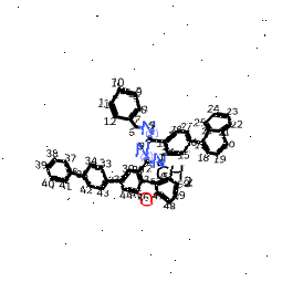 C=N/C(=N\C(=N/Cc1ccccc1)c1ccc(-c2cccc3ccccc23)cc1)c1cc(-c2ccc(-c3ccccc3)cc2)cc2oc3ccccc3c12